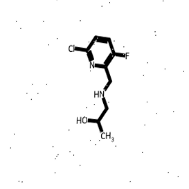 CC(O)CNCc1nc(Cl)ccc1F